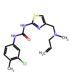 C=CCN(C)Cc1csc(NC(=O)Nc2ccc(C)c(Cl)c2)n1